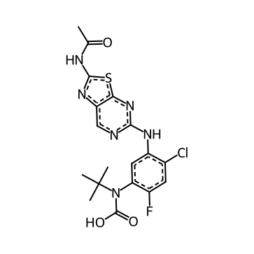 CC(=O)Nc1nc2cnc(Nc3cc(N(C(=O)O)C(C)(C)C)c(F)cc3Cl)nc2s1